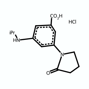 CC(C)Nc1cc(C(=O)O)cc(N2CCCC2=O)c1.Cl